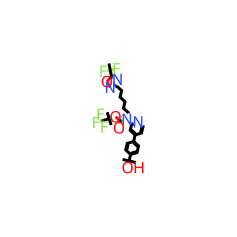 CC(C)(O)c1ccc(-c2ccnc(N(CCCCCc3noc(C(C)(F)F)n3)C(=O)OC(C)(C)C(F)(F)F)c2)cc1